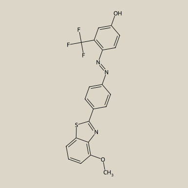 COc1cccc2sc(-c3ccc(/N=N/c4ccc(O)cc4C(F)(F)F)cc3)nc12